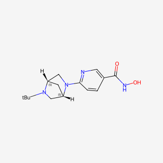 CC(C)(C)N1C[C@@H]2C[C@H]1CN2c1ccc(C(=O)NO)cn1